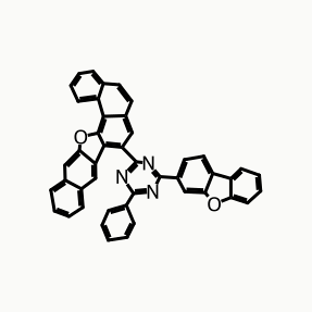 c1ccc(-c2nc(-c3ccc4c(c3)oc3ccccc34)nc(-c3cc4ccc5ccccc5c4c4oc5cc6ccccc6cc5c34)n2)cc1